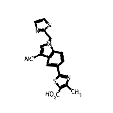 Cc1nc(-c2ccc3c(c2)c(C#N)cn3Cc2nccs2)sc1C(=O)O